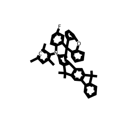 Cc1cc(C)c(N2c3ccc(F)cc3C3(c4ccccc4Oc4ccccc43)c3cc4c(cc32)C(C)(C)c2cc3c(cc2-4)C(C)(C)c2ccccc2-3)c(C)c1